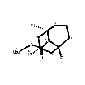 CC(C)(C)OC(=O)N1[C@@H]2CCC[C@]1(F)C[C@H](O)C2